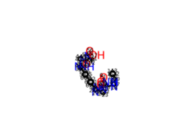 COC(=O)N[C@@H](Cc1cn(Cc2ccccc2)cn1)C(=O)N1CCCC1c1ncc(-c2ccc(-c3ccc(-c4cnc([C@@H]5CCCN5C(=O)[C@H](C(C)C)N(C)C(=O)O)[nH]4)cc3)cc2)[nH]1